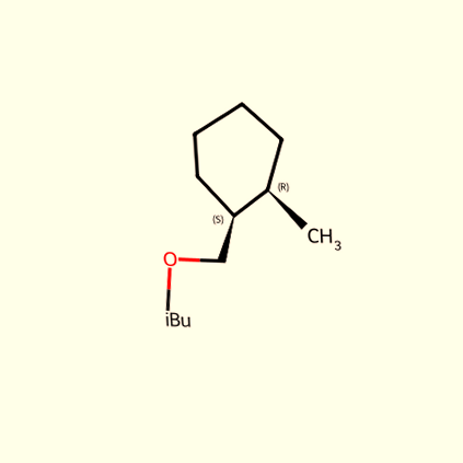 CCC(C)OC[C@H]1CCCC[C@H]1C